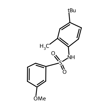 COc1cccc(S(=O)(=O)Nc2ccc(C(C)(C)C)cc2C)c1